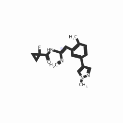 C=N/C(=C\c1cc(-c2cnn(C)c2)ccc1C)NC(=O)C1(F)CC1